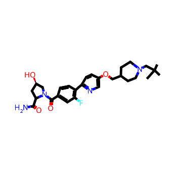 CC(C)(C)CN1CCC(COc2ccc(-c3ccc(C(=O)N4C[C@H](O)CC4C(N)=O)cc3F)nc2)CC1